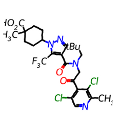 Cc1ncc(Cl)c(C(=O)CN(CC(C)(C)C)C(=O)c2cnn(C3CCC(C)(C(=O)O)CC3)c2C(F)(F)F)c1Cl